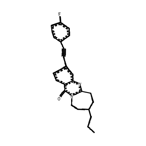 CCCC1CCc2nc3cc(C#Cc4ccc(F)cc4)ccc3c(=O)n2CC1